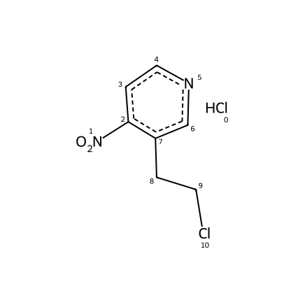 Cl.O=[N+]([O-])c1ccncc1CCCl